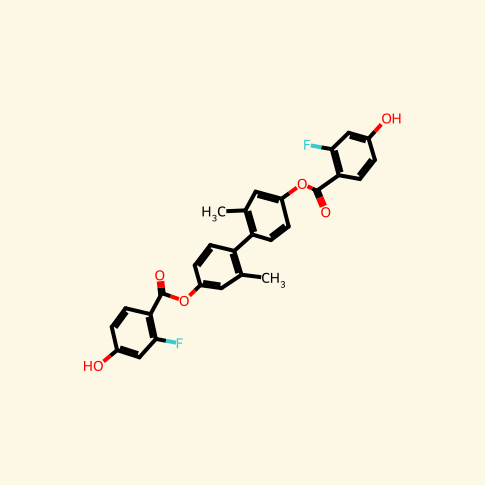 Cc1cc(OC(=O)c2ccc(O)cc2F)ccc1-c1ccc(OC(=O)c2ccc(O)cc2F)cc1C